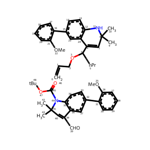 C=CCOC(CCC)C1=CC(C)(C)Nc2ccc(-c3ccccc3OC)cc21.COc1ccccc1-c1ccc2c(c1)C(C=O)=CC(C)(C)N2C(=O)OC(C)(C)C